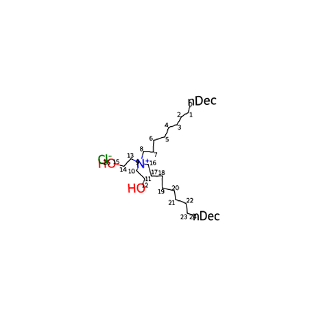 CCCCCCCCCCCCCCCCCC[N+](CCO)(CCO)CCCCCCCCCCCCCCCCCC.[Cl-]